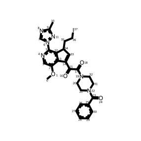 COc1cnc(-n2cnc(C)n2)c2c1C(C(=O)C(=O)N1CCN(C(=O)c3ccccc3)CC1)=CC2CCI